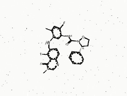 Cc1cc(F)c(NC(=O)N2OCC[C@@H]2c2ccccc2)cc1Nc1ccc2ncn(C)c(=O)c2c1F